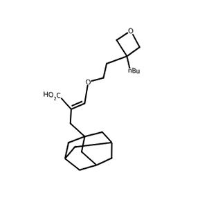 CCCCC1(CCOC=C(CC23CC4CC(CC(C4)C2)C3)C(=O)O)COC1